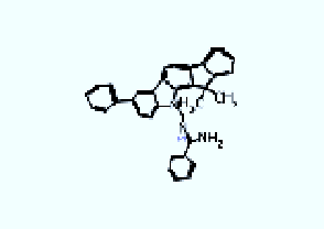 CC1(C)c2ccccc2-c2ccc3c4cc(-c5ccccc5)ccc4n(C/N=C(\N)c4ccccc4)c3c21